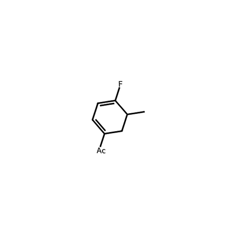 CC(=O)C1=CC=C(F)C(C)C1